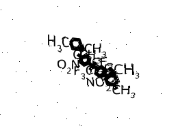 CC1CCC2C(C)(C)C2(Oc2ccc(C(c3ccc(OC45CC(C)CCC4C5(C)C)c([N+](=O)[O-])c3)(C(F)(F)F)C(F)(F)F)cc2[N+](=O)[O-])C1